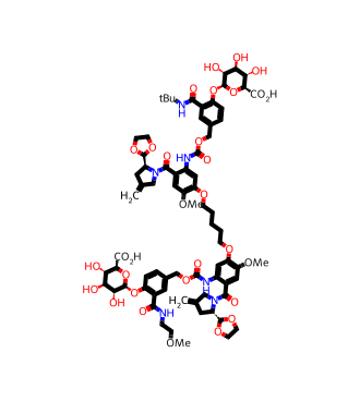 C=C1C[C@@H](C2OCCO2)N(C(=O)c2cc(OC)c(OCCCCCOc3cc(NC(=O)OCc4ccc(O[C@@H]5O[C@H](C(=O)O)[C@@H](O)[C@H](O)[C@H]5O)c(C(=O)NC(C)(C)C)c4)c(C(=O)N4CC(=C)C[C@H]4C4OCCO4)cc3OC)cc2NC(=O)OCc2ccc(O[C@@H]3O[C@H](C(=O)O)[C@@H](O)[C@H](O)[C@H]3O)c(C(=O)NCCOC)c2)C1